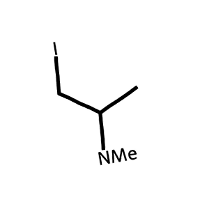 CNC(C)CI